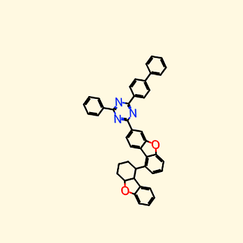 c1ccc(-c2ccc(-c3nc(-c4ccccc4)nc(-c4ccc5c(c4)oc4cccc(C6CCCC7Oc8ccccc8C76)c45)n3)cc2)cc1